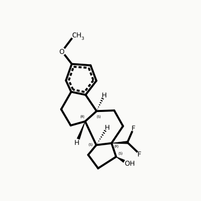 COc1ccc2c(c1)CC[C@@H]1[C@@H]2CC[C@]2(C(F)F)[C@@H](O)CC[C@@H]12